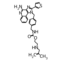 C=C(C)CNCCOC(=O)NCc1ccc(Cn2c(-c3ccsc3)nc3c(N)nc4ccccc4c32)cc1